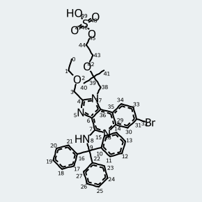 CCOCc1nc2c(NC(c3ccccc3)(c3ccccc3)c3ccccc3)nc3cc(Br)ccc3c2n1CC(C)(C)OCCOS(=O)(=O)O